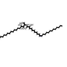 CCCCCCCCCCCC/C=C\CCCCCCCCC(O)C(=O)NC(CO)C(O)C(O)CCCCCCCCCCCCCC